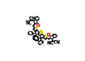 N#CC(C#N)=C1/C(=C/c2cc3c(s2)-c2sc4c(c2C3(c2ccccc2)c2ccccc2)C(c2ccccc2)(c2ccccc2)c2cc(/C=C3\C(=O)c5ccccc5C3=C(C#N)C#N)sc2-4)C(=O)c2ccccc21